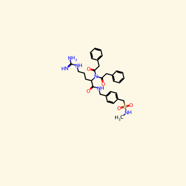 CNS(=O)(=O)Cc1ccc(CNC(=O)C(CCCNC(=N)N)N(C(=O)Cc2ccccc2)C(=O)Cc2ccccc2)cc1